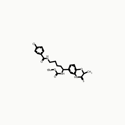 CC1Oc2ccc(C(CCCCNC(=O)c3ccc(Cl)cc3)NC(=O)OC(C)(C)C)cc2NC1=S